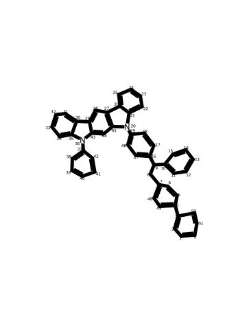 c1ccc(-c2ccc(CC(c3ccccc3)c3ccc(-n4c5ccccc5c5cc6c7ccccc7n(-c7ccccc7)c6cc54)cc3)cc2)cc1